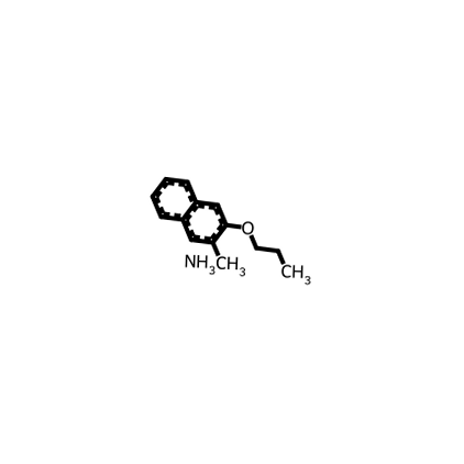 CCCOc1cc2ccccc2cc1C.N